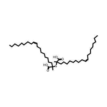 CCCCCCCC/C=C\CCCCCCCCC(C)(SC(C)(CCCCCCCC/C=C\CCCCCCCC)C(=O)O)C(=O)O